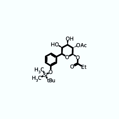 CCC(=O)O[C@H]1OC(c2cccc(O[Si](C)(C)C(C)(C)C)c2)[C@@H](O)[C@@H](O)[C@@H]1OC(C)=O